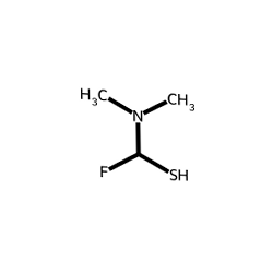 CN(C)C(F)S